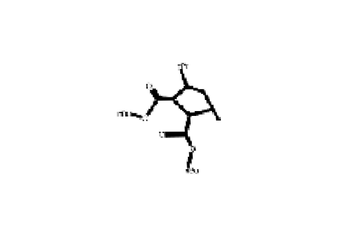 CCCCOC(=O)C1C(C)CC(CCC)C1C(=O)OCCCC